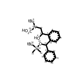 CC(C)(C)N(CC(O)c1ccccc1C(O[Si](C)(C)C(C)(C)C)c1ccccc1)C(=O)O